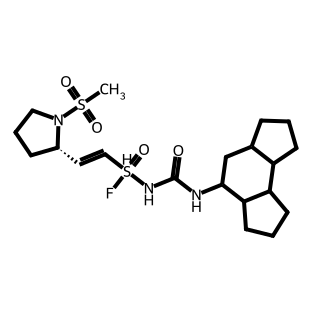 CS(=O)(=O)N1CCC[C@H]1/C=C/[SH](=O)(F)NC(=O)NC1CC2CCCC2C2CCCC12